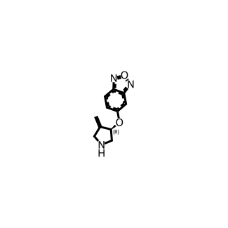 C=C1CNC[C@@H]1Oc1ccc2nonc2c1